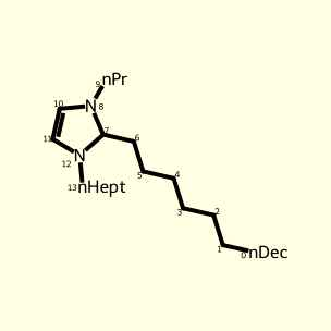 CCCCCCCCCCCCCCCCC1N(CCC)C=CN1CCCCCCC